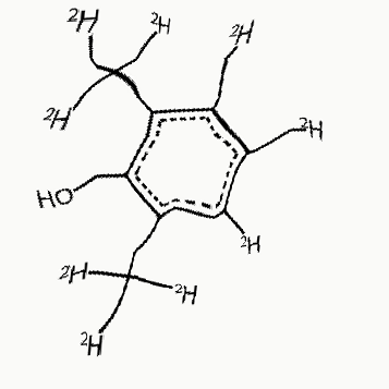 [2H]c1c([2H])c(C([2H])([2H])[2H])c(O)c(C([2H])([2H])[2H])c1[2H]